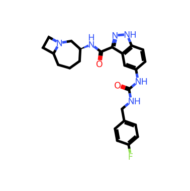 O=C(NCc1ccc(F)cc1)Nc1ccc2[nH]nc(C(=O)N[C@H]3CCCC4CCN4C3)c2c1